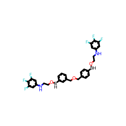 Fc1cc(NCCOBc2ccc(COCc3cccc(BOCCNc4cc(F)c(F)c(F)c4)c3)cc2)cc(F)c1F